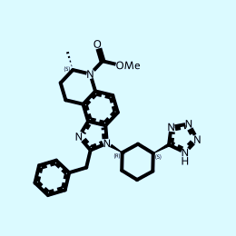 COC(=O)N1c2ccc3c(nc(Cc4ccccc4)n3[C@@H]3CCC[C@H](c4nnn[nH]4)C3)c2CC[C@@H]1C